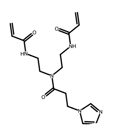 C=CC(=O)NCCN(CCNC(=O)C=C)C(=O)CCn1ccnc1